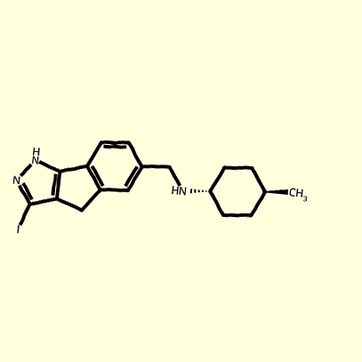 C[C@H]1CC[C@H](NCc2ccc3c(c2)Cc2c(I)n[nH]c2-3)CC1